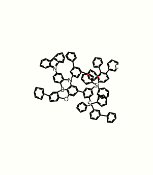 c1ccc(-c2cc(-c3ccccc3)cc(N3c4cc(-n5c6ccccc6c6ccccc65)ccc4B4c5cc(-c6ccccc6)ccc5Oc5cc(-c6cc([Si](c7ccccc7)(c7ccccc7)c7cccc(-c8ccccc8)c7)cc([Si](c7ccccc7)(c7ccccc7)c7ccc(-c8ccccc8)c(-c8ccccc8)c7)c6)cc3c54)c2)cc1